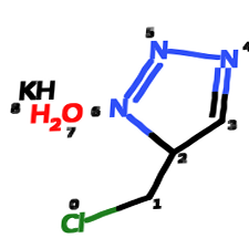 ClCC1C=NN=N1.O.[KH]